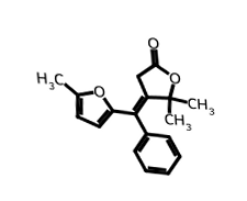 Cc1ccc(C(=C2CC(=O)OC2(C)C)c2ccccc2)o1